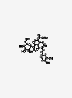 C=CC1C(OC2OC(CO)C(O)C(O)C2O)OC=C(C(=O)OC)C1CC(=O)OCCc1ccc(O)c(O)c1